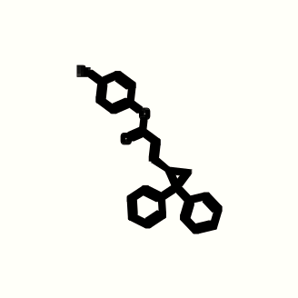 O=C(/C=C/[C@H]1CC1(c1ccccc1)c1ccccc1)Oc1ccc(Br)cc1